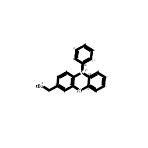 CC(C)(C)Cc1ccc2c(c1)Oc1ccccc1N2c1ccccc1